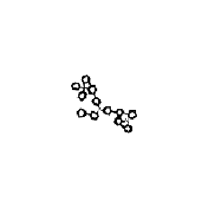 c1ccc(-c2cccc(N(c3ccc(-c4ccc(-c5ccccc5-n5c6ccccc6c6ccccc65)cc4)cc3)c3ccc(-c4ccc5c(c4)C(c4ccccc4)(c4ccccc4)c4ccccc4-5)cc3)c2)cc1